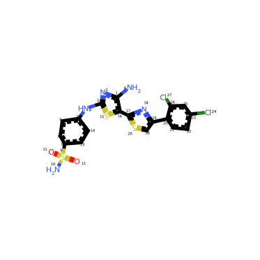 Nc1nc(Nc2ccc(S(N)(=O)=O)cc2)sc1-c1nc(-c2ccc(Cl)cc2Cl)cs1